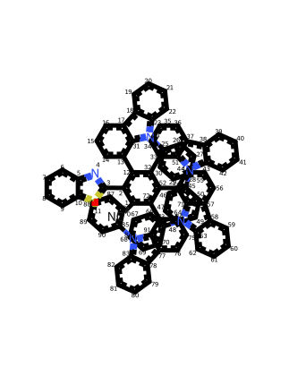 N#Cc1c(-c2nc3ccccc3s2)c(-c2cccc3c4ccccc4n(-c4ccccc4)c23)c(-c2cccc3c4ccccc4n(-c4ccccc4)c23)c(-c2cccc3c4ccccc4n(-c4ccccc4)c23)c1-c1cccc2c3ccccc3n(-c3ccccc3)c12